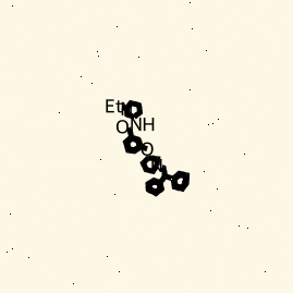 CCN1CCCC(NC(=O)c2cccc(OC3CCCN(CC(c4ccccc4)c4ccccc4)C3)c2)C1